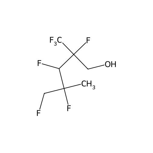 CC(F)(CF)C(F)C(F)(CO)C(F)(F)F